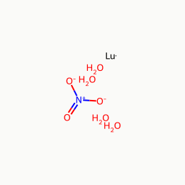 O.O.O.O.O=[N+]([O-])[O-].[Lu]